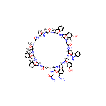 CCCC[C@H]1C(=O)N(C)CC(=O)N[C@@H](CC(=O)O)C(=O)N[C@@H](C(C)C)C(=O)N(C)[C@@H](Cc2ccccc2)C(=O)N[C@@H](Cc2ccc(O)cc2)C(=O)N(C)CC(=O)N[C@@H](Cc2c[nH]c3ccccc23)C(=O)N[C@@H](Cc2ccc(O)cc2)C(=O)N[C@@H](Cc2ccc(CN)cc2)C(=O)N[C@H](C(=O)NCC(N)=O)CSCC(=O)N[C@@H](Cc2ccccc2)C(=O)N(C)[C@@H](Cc2ccccc2)C(=O)N1C